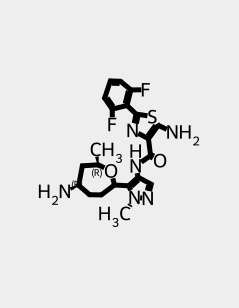 C[C@@H]1C[C@H](N)CCC(c2c(NC(=O)c3nc(-c4c(F)cccc4F)sc3N)cnn2C)O1